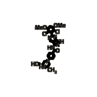 C#C[C@@H]1CN(c2ccc(C(=O)Nc3n[nH]c4nc(-c5c(Cl)c(OC)cc(OC)c5Cl)ncc34)cc2)C[C@H](C)N1